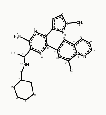 Cn1ccc(-c2nc(N)c(C(O)NCC3CCCCC3)nc2-c2cc(Cl)c3ncccc3c2)n1